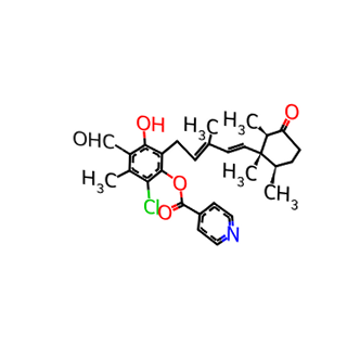 CC(/C=C/[C@@]1(C)[C@H](C)CCC(=O)[C@@H]1C)=C\Cc1c(O)c(C=O)c(C)c(Cl)c1OC(=O)c1ccncc1